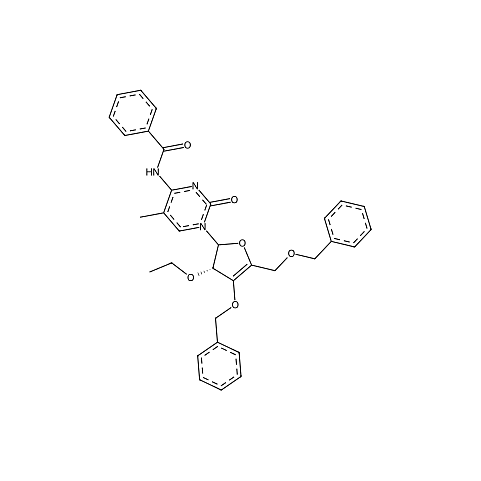 CCO[C@H]1C(OCc2ccccc2)=C(COCc2ccccc2)OC1n1cc(C)c(NC(=O)c2ccccc2)nc1=O